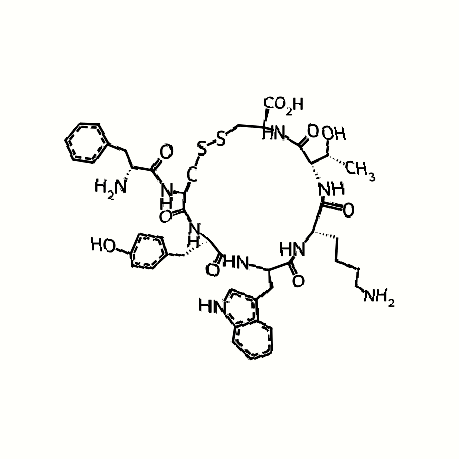 C[C@@H](O)[C@@H]1NC(=O)[C@H](CCCCN)NC(=O)[C@@H](Cc2c[nH]c3ccccc23)NC(=O)[C@H](Cc2ccc(O)cc2)NC(=O)[C@@H](NC(=O)[C@H](N)Cc2ccccc2)CSSC[C@@H](C(=O)O)NC1=O